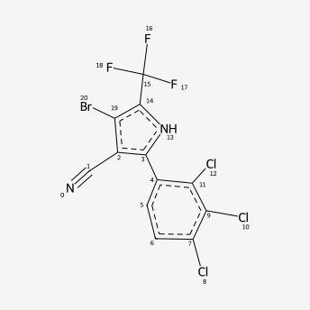 N#Cc1c(-c2ccc(Cl)c(Cl)c2Cl)[nH]c(C(F)(F)F)c1Br